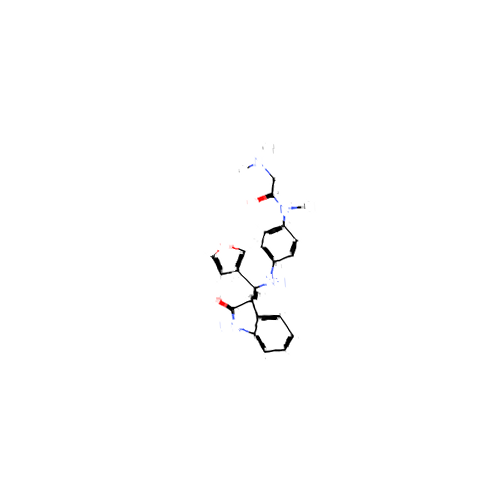 CN(C)CC(=O)N(C)c1ccc(NC(=C2C(=O)Nc3ccccc32)c2ccoc2)cc1